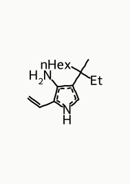 C=Cc1[nH]cc(C(C)(CC)CCCCCC)c1N